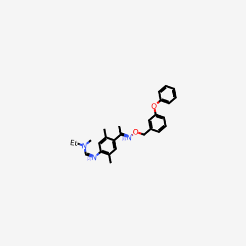 CCN(C)/C=N\c1cc(C)c(/C(C)=N/OCc2cccc(Oc3ccccc3)c2)cc1C